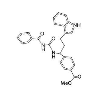 COC(=O)c1ccc(C(CCc2c[nH]c3ccccc23)NC(=O)NC(=O)c2ccccc2)cc1